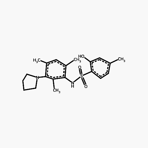 Cc1ccc(S(=O)(=O)Nc2c(C)cc(C)c(N3CCCC3)c2C)c(O)c1